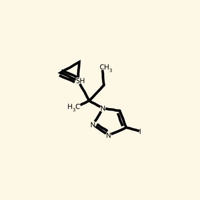 CCC(C)(n1cc(I)nn1)[SH]1#CC1